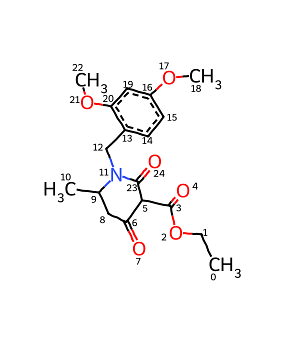 CCOC(=O)C1C(=O)CC(C)N(Cc2ccc(OC)cc2OC)C1=O